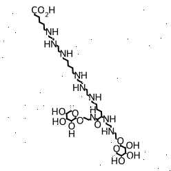 C[C@@H]1O[C@@H](OCCNCCNC(CCCCNCCNCCNCCCCCNCCNCCNCCCCCC(=O)O)C(=O)NCCO[C@@H]2O[C@@H](C)[C@@H](O)[C@@H](O)[C@@H]2O)[C@@H](O)[C@H](O)[C@@H]1O